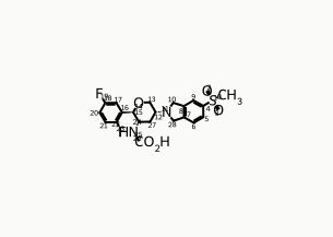 CS(=O)(=O)c1ccc2c(c1)CN([C@H]1CO[C@H](c3cc(F)ccc3F)[C@@H](NC(=O)O)C1)C2